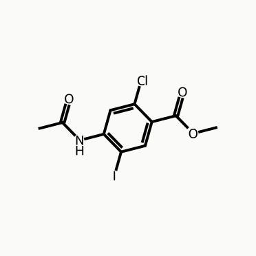 COC(=O)c1cc(I)c(NC(C)=O)cc1Cl